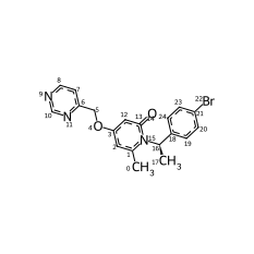 Cc1cc(OCc2ccncn2)cc(=O)n1[C@H](C)c1ccc(Br)cc1